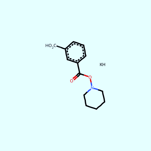 O=C(O)c1cccc(C(=O)ON2CCCCC2)c1.[KH]